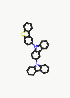 C1=Cc2c(c3ccccc3n2-c2ccc3c(c2)c2ccccc2n3-c2ccc3sc4ccccc4c3c2)CC1